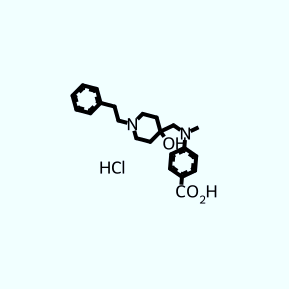 CN(CC1(O)CCN(CCc2ccccc2)CC1)c1ccc(C(=O)O)cc1.Cl